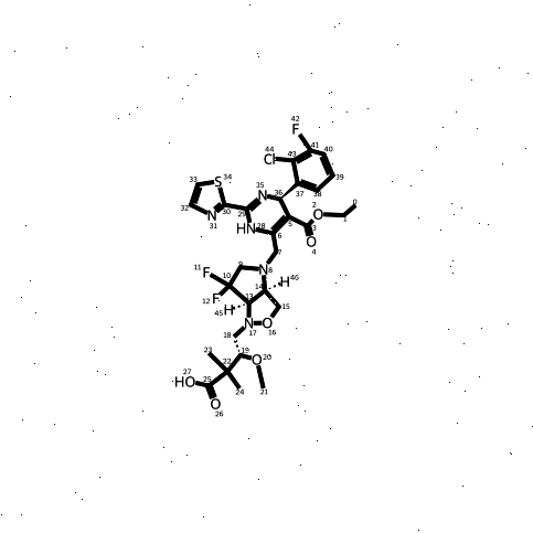 CCOC(=O)C1=C(CN2CC(F)(F)[C@H]3[C@@H]2CON3C[C@H](OC)C(C)(C)C(=O)O)NC(c2nccs2)=N[C@H]1c1cccc(F)c1Cl